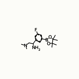 CN(C)CC(N)c1cc(F)cc(B2OC(C)(C)C(C)(C)O2)c1